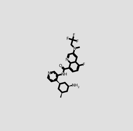 C[C@@H]1C[C@H](N)C[C@H](c2ccncc2NC(=O)C2=CC=C(F)C3C=C(N(C)CC(F)(F)F)C=NC23)C1